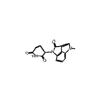 Cn1cc2c3c(cccc31)N(C1CCC(=O)NC1=O)C2=O